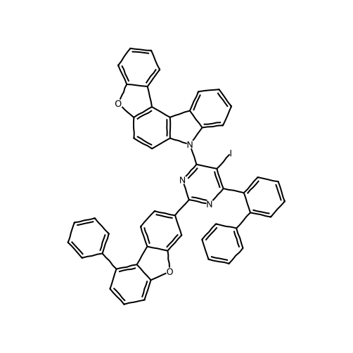 Ic1c(-c2ccccc2-c2ccccc2)nc(-c2ccc3c(c2)oc2cccc(-c4ccccc4)c23)nc1-n1c2ccccc2c2c3c(ccc21)oc1ccccc13